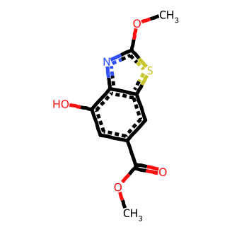 COC(=O)c1cc(O)c2nc(OC)sc2c1